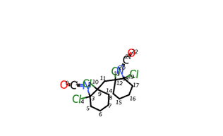 O=C=NC1(Cl)CCCCC1(Cl)CC1(Cl)CCCCC1(Cl)N=C=O